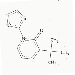 CC(C)(C)c1cccn(-c2nccs2)c1=O